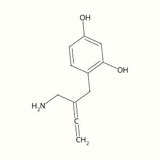 C=C=C(CN)Cc1ccc(O)cc1O